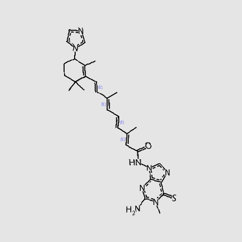 CC1=C(/C=C/C(C)=C/C=C/C(C)=C/C(=O)Nn2cnc3c(=S)n(C)c(N)nc32)C(C)(C)CCC1n1ccnc1